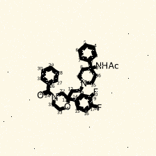 CC(=O)NC1(c2ccccc2)CCN(CCC2(c3ccc(F)c(F)c3)CN(C(=O)c3ccccc3)CCO2)CC1